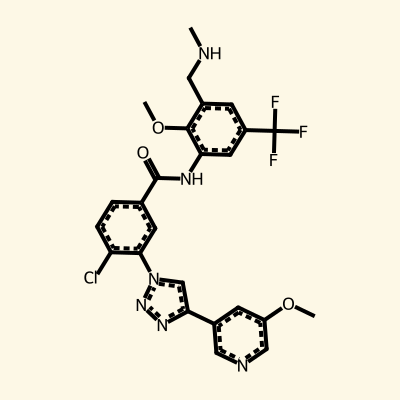 CNCc1cc(C(F)(F)F)cc(NC(=O)c2ccc(Cl)c(-n3cc(-c4cncc(OC)c4)nn3)c2)c1OC